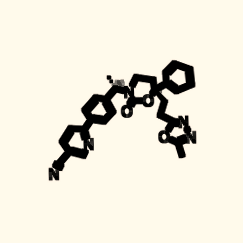 Cc1nnc(CC[C@]2(c3ccccc3)CCN([C@@H](C)c3ccc(-c4ccc(C#N)cn4)cc3)C(=O)O2)o1